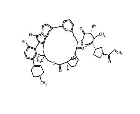 C=CC(=O)N1CC[C@H](C(=O)N(C)[C@H](C(=O)N[C@H]2Cc3cccc(c3)-c3ccc4c(c3)c(c(-c3cc(C5=CCN(C)CC5)cnc3C(C)C)n4CC)CC(C)(C)COC(=O)[C@@H]3CCCN(N3)C2=O)C(C)C)C1